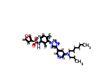 CCCCCCN(CCC)c1cncc(-c2cn(-c3c(F)ccc(NS(=O)(=O)c4ccoc4)c3F)nn2)c1